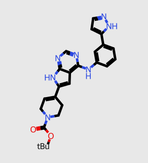 CC(C)(C)OC(=O)N1CC=C(c2cc3c(Nc4cccc(-c5ccn[nH]5)c4)ncnc3[nH]2)CC1